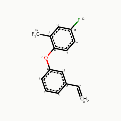 C=Cc1cccc(Oc2ccc(F)cc2C(F)(F)F)c1